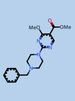 COC(=O)c1cnc(N2CCN(Cc3ccccc3)CC2)nc1OC